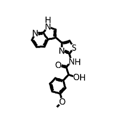 COc1cccc(C(O)C(=O)Nc2nc(-c3c[nH]c4ncccc34)cs2)c1